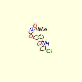 CNC(=O)c1cc(Oc2ccc3c(C(=O)Nc4cccc(Cl)c4)cccc3c2)ccn1